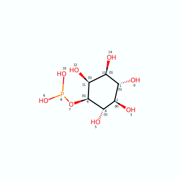 O[C@@H]1[C@@H](O)[C@H](O)[C@@H](OP(O)O)[C@@H](O)[C@H]1O